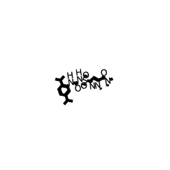 CC(C)c1ccc(C(C)C)c(NC(=O)NS(=O)(=O)c2cc(C(=O)N(C)C)n(C)n2)c1